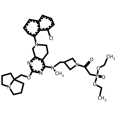 CCOP(=O)(CC(=O)N1CC(CN(C)c2nc(OCC34CCCN3CCC4)nc3c2CCN(c2cccc4cccc(Cl)c24)C3)C1)OCC